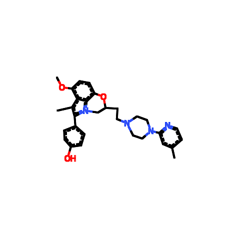 COc1ccc2c3c1c(C)c(-c1ccc(O)cc1)n3CC(CCN1CCN(c3cc(C)ccn3)CC1)O2